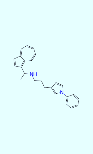 CC(NCCCc1ccn(-c2ccccc2)c1)c1ccc2cccccc1-2